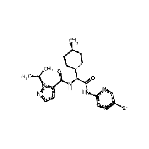 CC(C)n1nccc1C(=O)N[C@H](C(=O)Nc1ccc(Br)cn1)[C@H]1CC[C@H](C)CC1